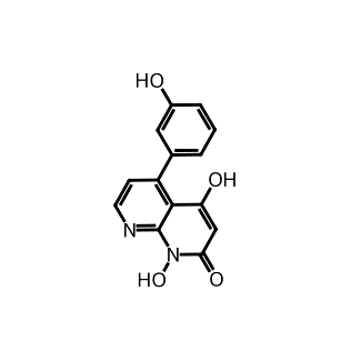 O=c1cc(O)c2c(-c3cccc(O)c3)ccnc2n1O